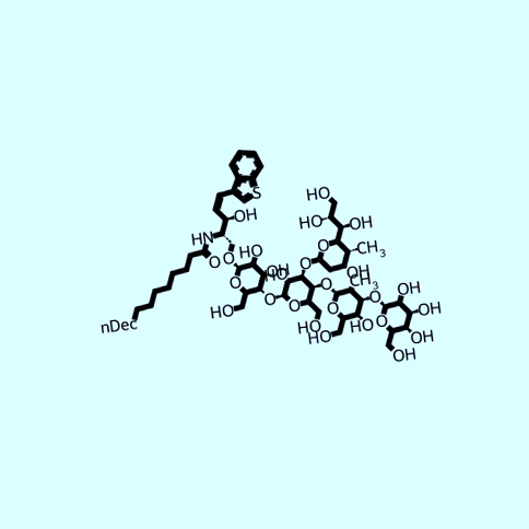 CCCCCCCCCCCCCCCCCC(=O)N[C@@H](CO[C@@H]1OC(CO)[C@@H](O[C@@H]2OC(CO)[C@H](O[C@@H]3OC(CO)[C@H](O)[C@H](O[C@@H]4OC(CO)[C@H](O)[C@H](O)C4O)C3C)[C@H](OC3C[C@@H](O)[C@@H](C)C([C@H](O)[C@H](O)CO)O3)C2O)[C@H](O)C1O)[C@H](O)/C=C\c1csc2ccccc12